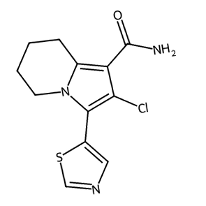 NC(=O)c1c(Cl)c(-c2cncs2)n2c1CCCC2